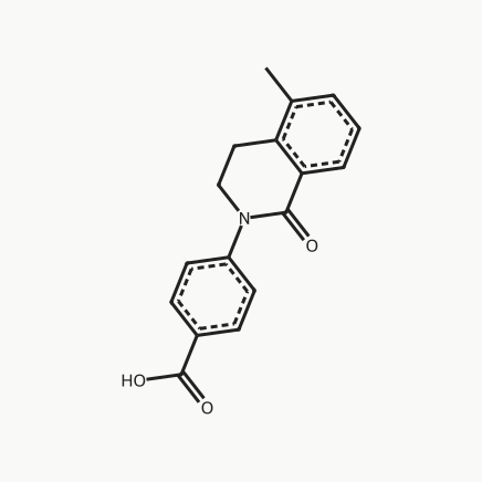 Cc1cccc2c1CCN(c1ccc(C(=O)O)cc1)C2=O